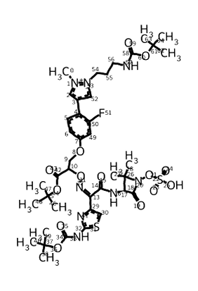 C[n+]1cc(-c2ccc(OCC(O/N=C(\C(=O)N[C@@H]3C(=O)N(OS(=O)(=O)O)C3(C)C)c3csc(NC(=O)OC(C)(C)C)n3)C(=O)OC(C)(C)C)cc2F)cn1CCCNC(=O)OC(C)(C)C